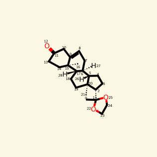 CC1([C@H]2CC[C@H]3[C@@H]4CC=C5CC(=O)CC[C@]5(C)[C@H]4CC[C@]23C)OCCO1